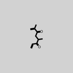 C=CC(=O)C(C)CC(=O)C(=C)C